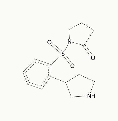 O=C1CCCN1S(=O)(=O)c1ccccc1C1CCNC1